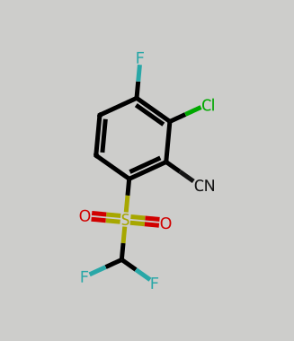 N#Cc1c(S(=O)(=O)C(F)F)ccc(F)c1Cl